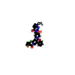 Cn1ccc2c(=O)n(CC3(O)CCN(C(=O)[C@@H]4CCN(C(=O)c5sccc5Br)C[C@H]4c4ccccc4)CC3)cnc21